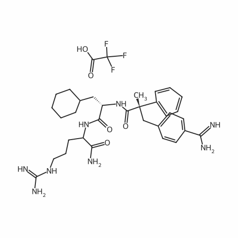 C[C@@](Cc1ccc(C(=N)N)cc1)(C(=O)N[C@@H](CC1CCCCC1)C(=O)NC(CCCNC(=N)N)C(N)=O)c1ccccc1.O=C(O)C(F)(F)F